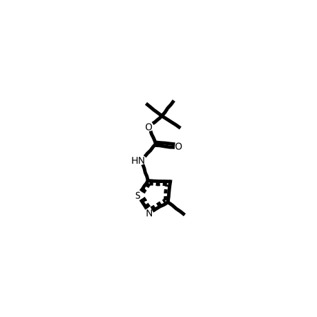 Cc1cc(NC(=O)OC(C)(C)C)sn1